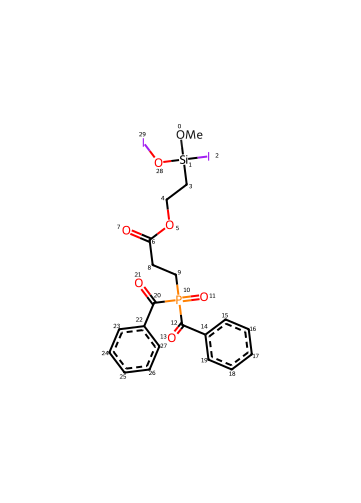 CO[Si](I)(CCOC(=O)CCP(=O)(C(=O)c1ccccc1)C(=O)c1ccccc1)OI